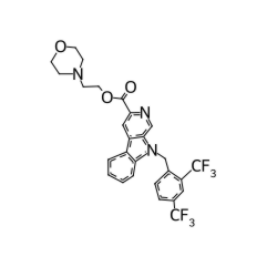 O=C(OCCN1CCOCC1)c1cc2c3ccccc3n(Cc3ccc(C(F)(F)F)cc3C(F)(F)F)c2cn1